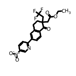 CCOC(=O)CC1(CC(F)(F)F)CCc2cc(-c3ccc([N+](=O)[O-])cn3)ccc2C1=O